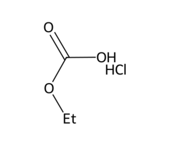 CCOC(=O)O.Cl